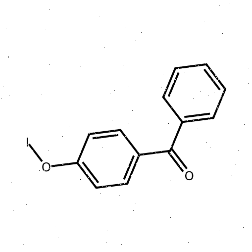 O=C(c1ccccc1)c1ccc(OI)cc1